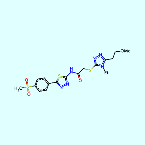 CCn1c(CCOC)nnc1SCC(=O)Nc1nnc(-c2ccc(S(C)(=O)=O)cc2)s1